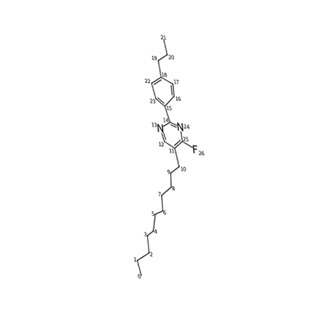 CCCCCCCCCCCc1cnc(-c2ccc(CCC)cc2)nc1F